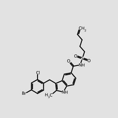 C=CCCCS(=O)(=O)NC(=O)c1ccc2[nH]c(C)c(Cc3ccc(Br)cc3Cl)c2c1